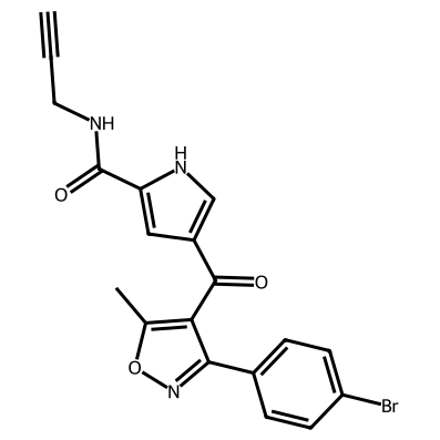 C#CCNC(=O)c1cc(C(=O)c2c(-c3ccc(Br)cc3)noc2C)c[nH]1